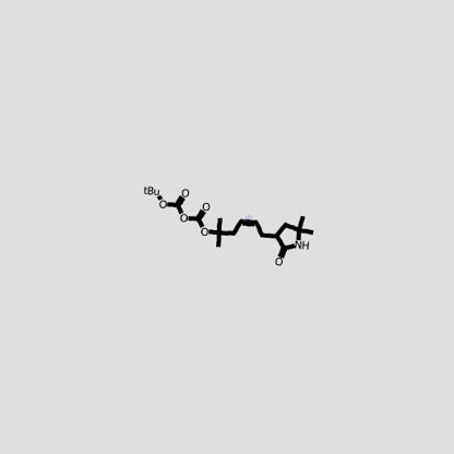 CC1(C)CC(C/C=C\CC(C)(C)OC(=O)OC(=O)OC(C)(C)C)C(=O)N1